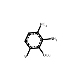 CC(C)COc1c(Br)ccc([N+](=O)[O-])c1N